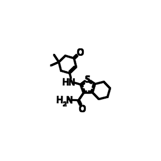 CC1(C)CC(=O)C=C(Nc2sc3c(c2C(N)=O)CCCC3)C1